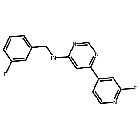 Fc1cccc(CNc2cc(-c3ccnc(F)c3)ncn2)c1